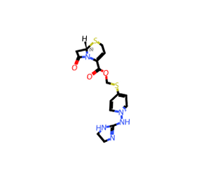 O=C(OCSc1cc[n+](NC2=NCCN2)cc1)C1=CCS[C@H]2CC(=O)N12